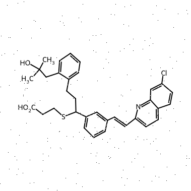 CC(C)(O)Cc1ccccc1CCC(SCCC(=O)O)c1cccc(C=Cc2ccc3ccc(Cl)cc3n2)c1